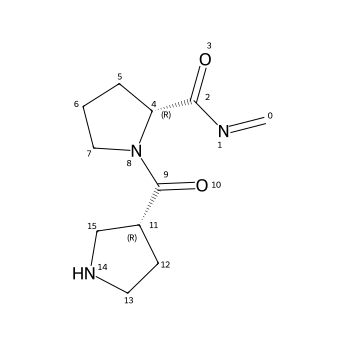 C=NC(=O)[C@H]1CCCN1C(=O)[C@@H]1CCNC1